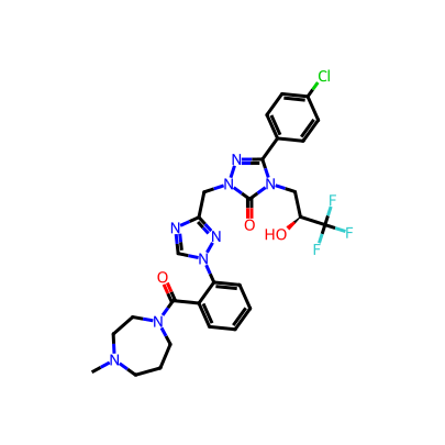 CN1CCCN(C(=O)c2ccccc2-n2cnc(Cn3nc(-c4ccc(Cl)cc4)n(C[C@H](O)C(F)(F)F)c3=O)n2)CC1